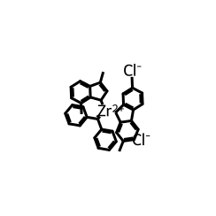 CC1=C[CH]([Zr+2](=[C](c2ccccc2)c2ccccc2)[CH]2c3cc(C)ccc3-c3ccc(C)cc32)c2c(C)cccc21.[Cl-].[Cl-]